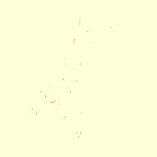 COc1ccc(CN(c2nc(C#N)ns2)S(=O)(=O)c2ccc3c(c2)OCCN3c2ccc(C(F)(F)F)cc2Cl)cc1